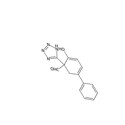 O=CC1(c2nnn[nH]2)CC(c2ccccc2)=CC=C1O